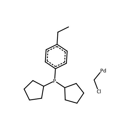 CCc1ccc(P(C2CCCC2)C2CCCC2)cc1.Cl[CH2][Pd]